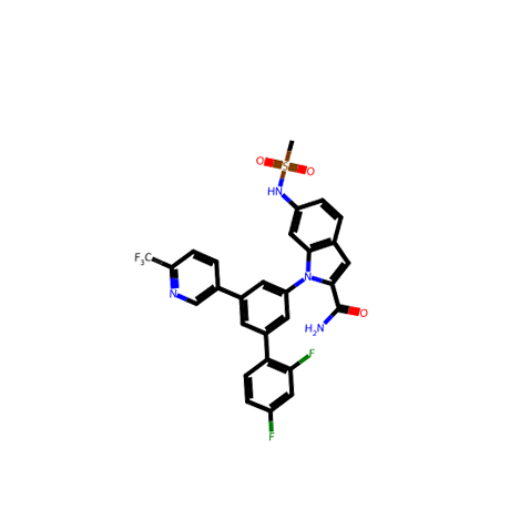 CS(=O)(=O)Nc1ccc2cc(C(N)=O)n(-c3cc(-c4ccc(C(F)(F)F)nc4)cc(-c4ccc(F)cc4F)c3)c2c1